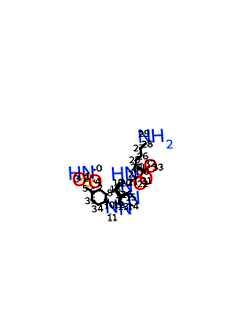 CNS(=O)(=O)CC1CCC(N(C)c2ncnc3c2ccn3C(=O)N[C@@H](CCCCN)C(=O)OC)CC1